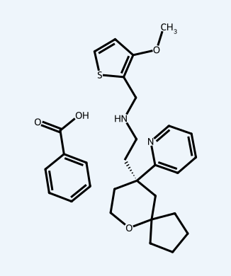 COc1ccsc1CNCC[C@@]1(c2ccccn2)CCOC2(CCCC2)C1.O=C(O)c1ccccc1